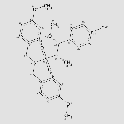 COc1ccc(CN(Cc2ccc(OC)cc2)S(=O)(=O)[C@@H](C)[C@H](OC)c2ccc(F)cn2)cc1